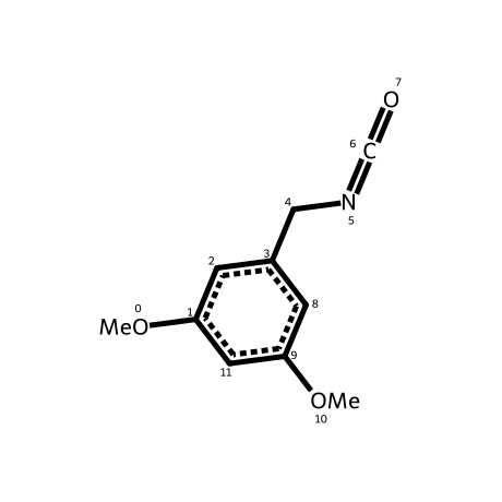 COc1cc(CN=C=O)cc(OC)c1